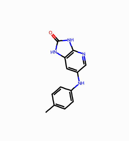 Cc1ccc(Nc2cnc3[nH]c(=O)[nH]c3c2)cc1